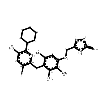 Cc1cc(OCc2noc(=O)[nH]2)c(C)c(C)c1Cc1nc(C2CCCCC2)c(O)cc1F